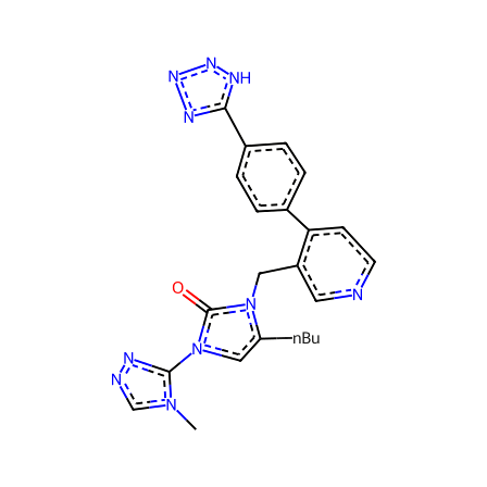 CCCCc1cn(-c2nncn2C)c(=O)n1Cc1cnccc1-c1ccc(-c2nnn[nH]2)cc1